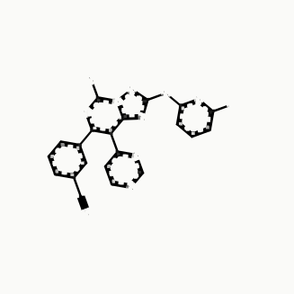 Cc1cccc(Nc2nc3c(-c4ccncn4)c(-c4cccc(C#N)c4)nc(N)n3n2)n1